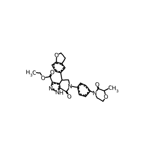 CCOC(=O)c1n[nH]c2c1C(c1ccc3c(c1)CCO3)CN(c1ccc(N3CCOC(C)C3=O)cc1)C2=O